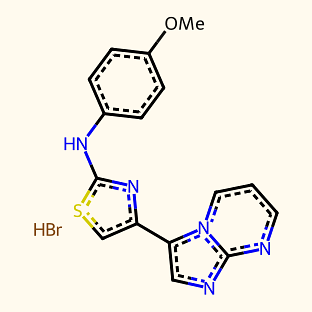 Br.COc1ccc(Nc2nc(-c3cnc4ncccn34)cs2)cc1